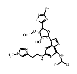 CCc1noc([C@H]2O[C@@H](n3cnc4c(NC(CC)CC)nc(NCCc5cn(C)cn5)nc43)[C@H](O)[C@@H]2OC=O)n1